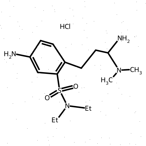 CCN(CC)S(=O)(=O)c1cc(N)ccc1CCC(N)N(C)C.Cl